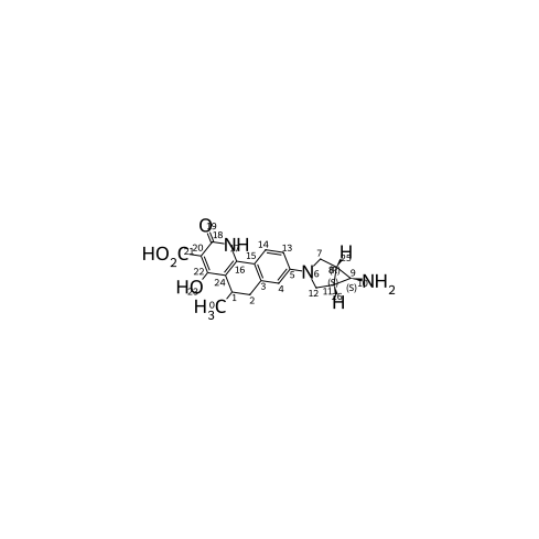 CC1Cc2cc(N3C[C@@H]4[C@@H](N)[C@@H]4C3)ccc2-c2[nH]c(=O)c(C(=O)O)c(O)c21